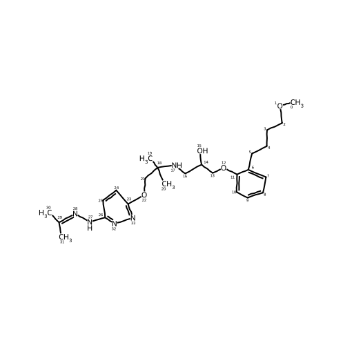 COCCCCc1ccccc1OCC(O)CNC(C)(C)COc1ccc(NN=C(C)C)nn1